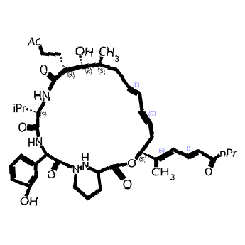 CCCC(=O)/C=C/C=C(\C)[C@@H]1C/C=C/C=C/C[C@H](C)[C@@H](O)[C@@H](CCC(C)=O)C(=O)N[C@@H](C(C)C)C(=O)NC(c2cccc(O)c2)C(=O)N2CCCC(N2)C(=O)O1